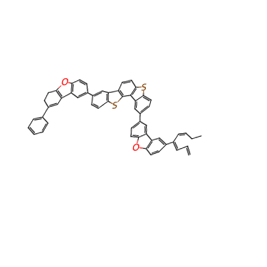 C=C/C=C(\C=C/CC)c1ccc2oc3ccc(-c4ccc5sc6ccc7c8cc(-c9ccc%10oc%11c(c%10c9)C=C(c9ccccc9)CC%11)ccc8sc7c6c5c4)cc3c2c1